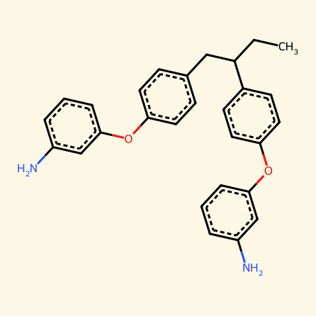 CCC(Cc1ccc(Oc2cccc(N)c2)cc1)c1ccc(Oc2cccc(N)c2)cc1